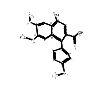 CSc1ccc(-c2c(C(=O)O)cc(O)c3cc(SC)c(SC)cc23)cc1